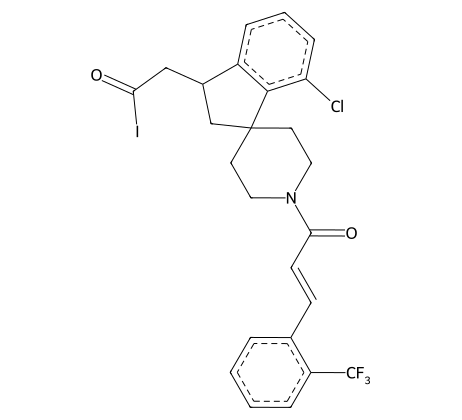 O=C(I)CC1CC2(CCN(C(=O)/C=C/c3ccccc3C(F)(F)F)CC2)c2c(Cl)cccc21